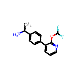 CC(N)c1ccc(-c2cccnc2OC(F)F)cc1